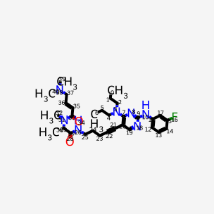 CCCN(CCC)c1nc(Nc2cccc(F)c2)ncc1C#CCCCNC(=O)[C@H](C)N(C)C(=O)/C=C/CN(C)C